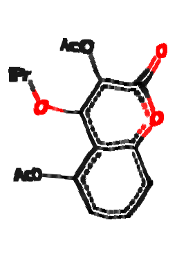 CC(=O)Oc1c(OC(C)C)c2c(OC(C)=O)cccc2oc1=O